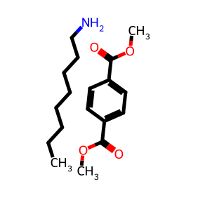 CCCCCCCCN.COC(=O)c1ccc(C(=O)OC)cc1